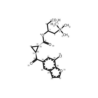 C[N+](C)(C)CC(CC(=O)O)OC(=O)[C@H]1C[C@@H]1C(=O)c1cc(Cl)c2occc2c1